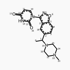 CC(c1ccc2onc(-n3ccc(=O)[nH]c3=O)c2c1)N1CCN(C)CC1